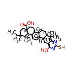 CC[C@@]1(C)CC[C@]2(C(=O)O)CC[C@]3(C)C(=CC[C@@H]4[C@@]5(C)Cc6c(O)nc(S)nc6C(C)(C)[C@@H]5CC[C@]43C)[C@@H]2[C@H]1C